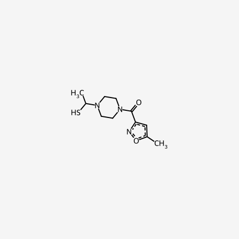 Cc1cc(C(=O)N2CCN(C(C)S)CC2)no1